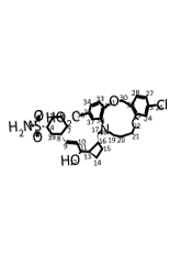 NS(=O)(=O)[C@@H]1CCC[C@H](/C=C/[C@H](O)[C@@H]2CC[C@H]2CN2CCCCc3cc(Cl)ccc3COc3ccc(C(=O)O)cc32)C1